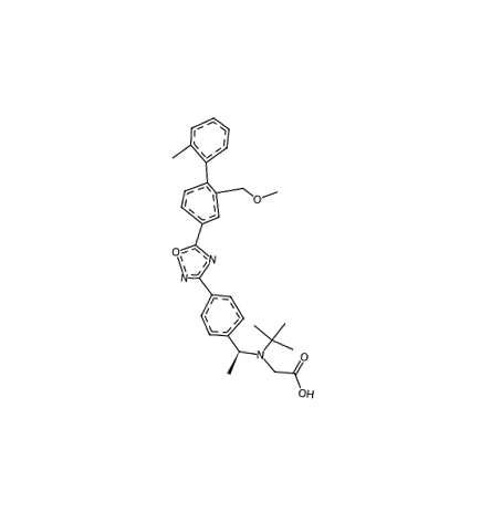 COCc1cc(-c2nc(-c3ccc([C@H](C)N(CC(=O)O)C(C)(C)C)cc3)no2)ccc1-c1ccccc1C